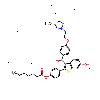 CCCCCCC(=O)Oc1ccc(-c2sc3cc(O)ccc3c2C(=O)c2ccc(OCCN3CCC(C)C3)cc2)cc1